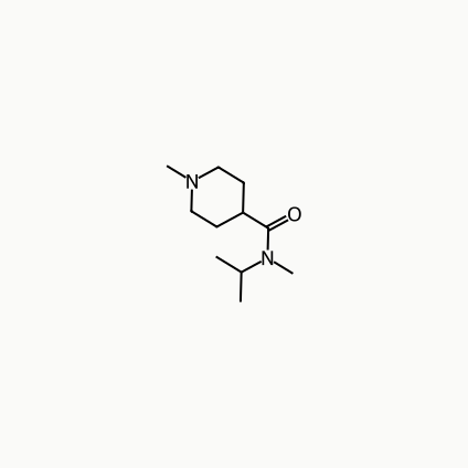 CC(C)N(C)C(=O)C1CCN(C)CC1